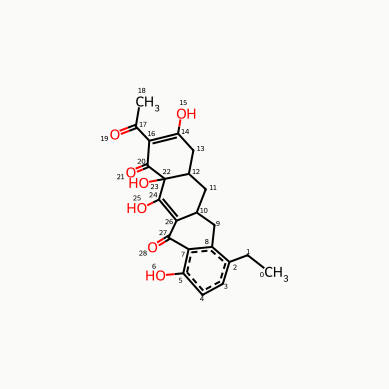 CCc1ccc(O)c2c1CC1CC3CC(O)=C(C(C)=O)C(=O)C3(O)C(O)=C1C2=O